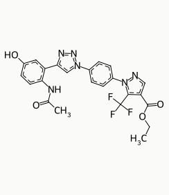 CCOC(=O)c1cnn(-c2ccc(-n3cc(-c4cc(O)ccc4NC(C)=O)nn3)cc2)c1C(F)(F)F